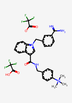 C[N+](C)(C)c1ccc(CNC(=O)c2cn(Cc3cccc(C(=N)N)c3)c3ccccc23)cc1.O=C(O)C(F)(F)F.O=C([O-])C(F)(F)F